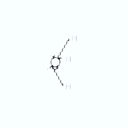 CCCCCCCCCCCC1(CO)CCCC(=O)OC(CO)(CCCCCCCCCCC)CCCC(=O)O1